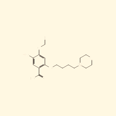 O=C(O)c1cc(O)c(OCI)cc1OCCCCN1CCOCC1